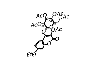 CCOc1ccc2c(O[C@@H]3O[C@H](COC(C)=O)[C@H](OC(C)=O)[C@H](OC(C)=O)[C@H]3OC(C)=O)c(OC(C)=O)c(=O)oc2c1